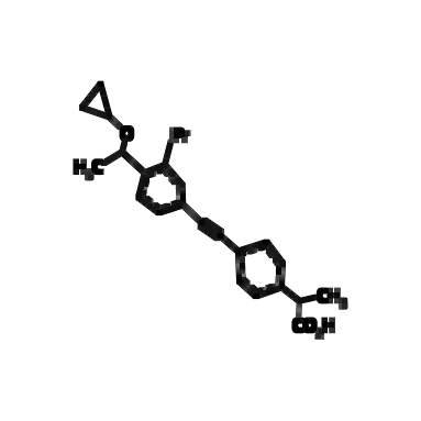 CC(C)c1cc(C#Cc2ccc(C(C)C(=O)O)cc2)ccc1C(C)OC1CC1